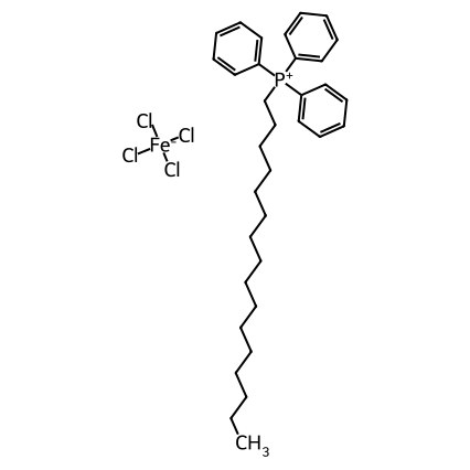 CCCCCCCCCCCCCCCC[P+](c1ccccc1)(c1ccccc1)c1ccccc1.[Cl][Fe-]([Cl])([Cl])[Cl]